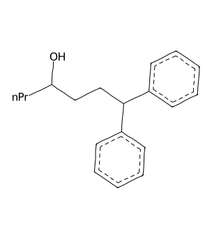 CCCC(O)CCC(c1ccccc1)c1ccccc1